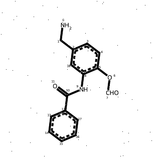 NCc1ccc(OC=O)c(NC(=O)c2ccccc2)c1